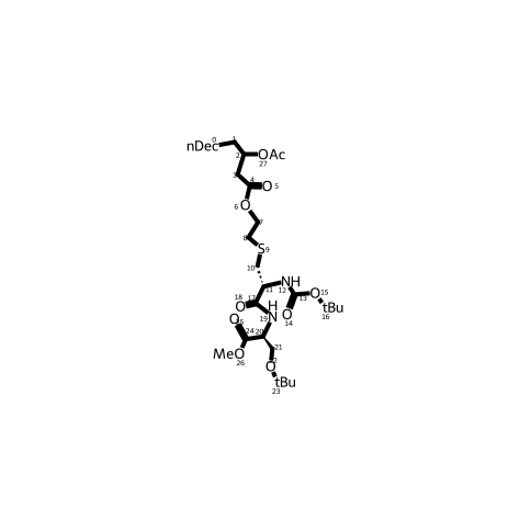 CCCCCCCCCCCC(CC(=O)OCCSC[C@H](NC(=O)OC(C)(C)C)C(=O)N[C@@H](COC(C)(C)C)C(=O)OC)OC(C)=O